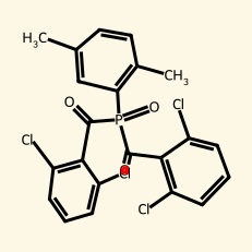 Cc1ccc(C)c(P(=O)(C(=O)c2c(Cl)cccc2Cl)C(=O)c2c(Cl)cccc2Cl)c1